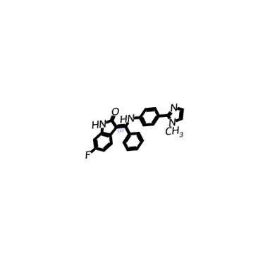 Cn1ccnc1-c1ccc(N/C(=C2\C(=O)Nc3cc(F)ccc32)c2ccccc2)cc1